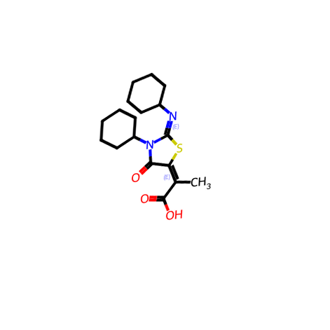 C/C(C(=O)O)=C1\S/C(=N/C2CCCCC2)N(C2CCCCC2)C1=O